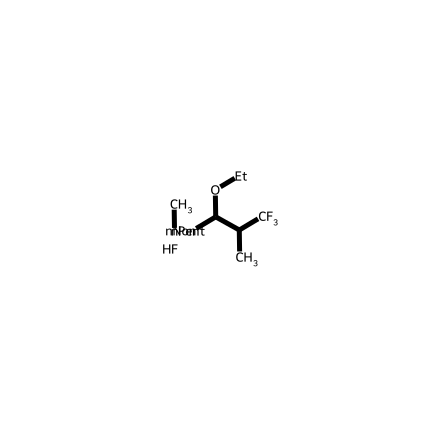 CCCCCC.CCCCCCCCCC(OCC)C(C)C(F)(F)F.F